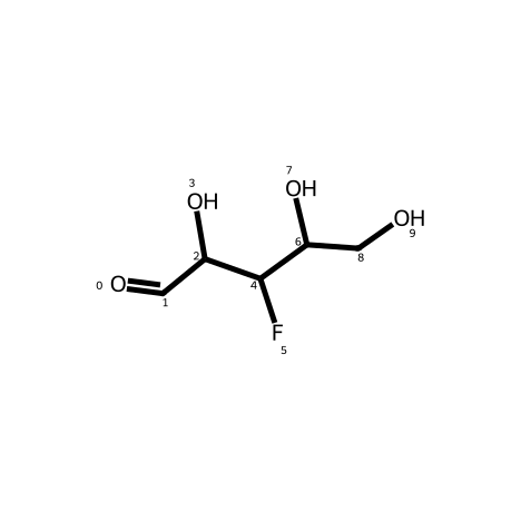 O=CC(O)C(F)C(O)CO